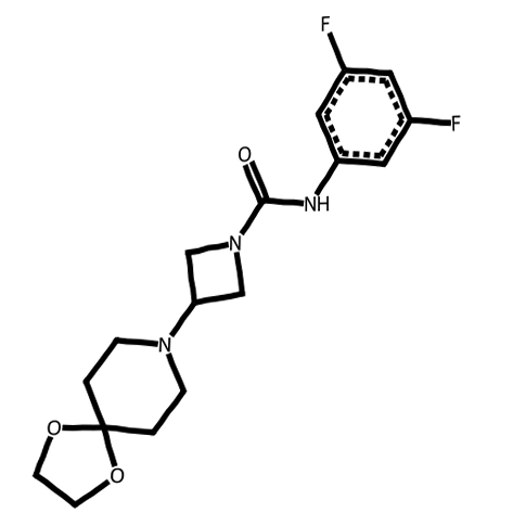 O=C(Nc1cc(F)cc(F)c1)N1CC(N2CCC3(CC2)OCCO3)C1